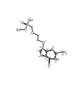 CCOP(=O)(O)COCCOn1cnc2c(=O)[nH]c(N)nc21